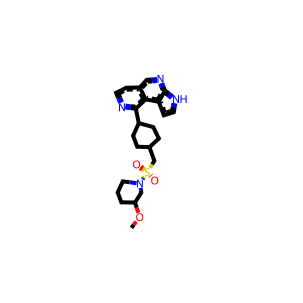 COC1CCCN(S(=O)(=O)CC2CCC(c3nccc4cnc5[nH]ccc5c34)CC2)C1